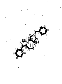 c1ccc(CN2C[C@@H]3NCCc4c(-c5ccccc5)nnn4[C@@H]3C2)cc1